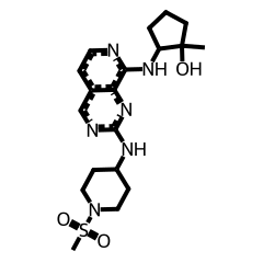 CC1(O)CCCC1Nc1nccc2cnc(NC3CCN(S(C)(=O)=O)CC3)nc12